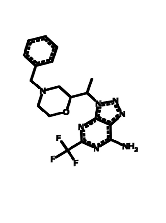 CC(C1CN(Cc2ccccc2)CCO1)n1nnc2c(N)nc(C(F)(F)F)nc21